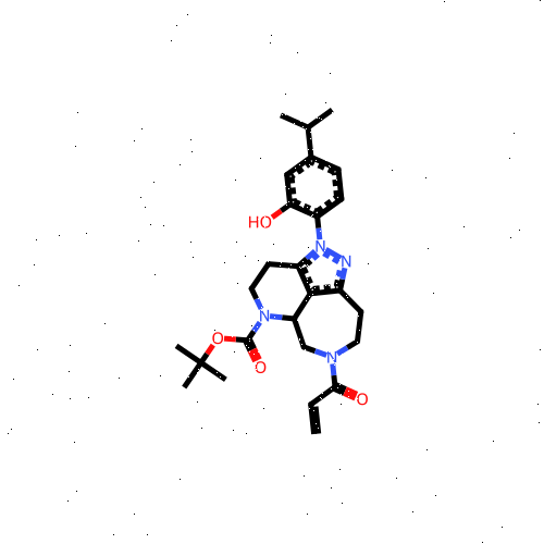 C=CC(=O)N1CCc2nn(-c3ccc(C(C)C)cc3O)c3c2C(C1)N(C(=O)OC(C)(C)C)CC3